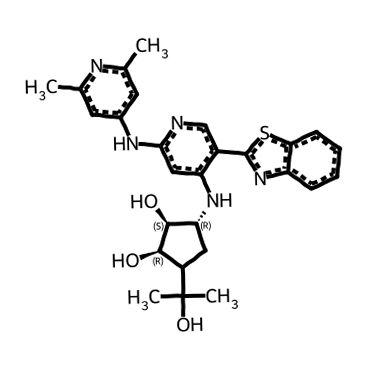 Cc1cc(Nc2cc(N[C@@H]3CC(C(C)(C)O)[C@@H](O)[C@H]3O)c(-c3nc4ccccc4s3)cn2)cc(C)n1